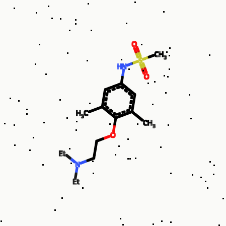 CCN(CC)CCOc1c(C)cc(NS(C)(=O)=O)cc1C